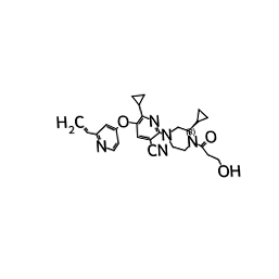 C=Cc1cc(Oc2cc(C#N)c(N3CCN(C(=O)CCO)[C@H](C4CC4)C3)nc2C2CC2)ccn1